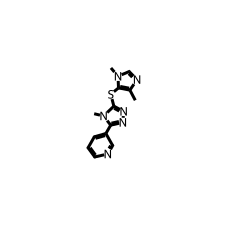 Cc1ncn(C)c1Sc1nnc(-c2cccnc2)n1C